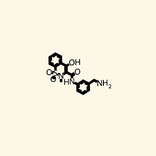 CN1C(C(=O)Nc2cccc(CN)c2)=C(O)c2ccccc2S1(=O)=O